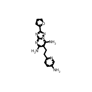 Nc1ccc(CCc2c(N)nc3nc(-c4ccco4)nn3c2N)nc1